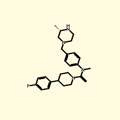 C=C(N1CCC(c2ccc(F)cc2)CC1)N(C)c1ccc(CN2CCN[C@@H](C)C2)cc1